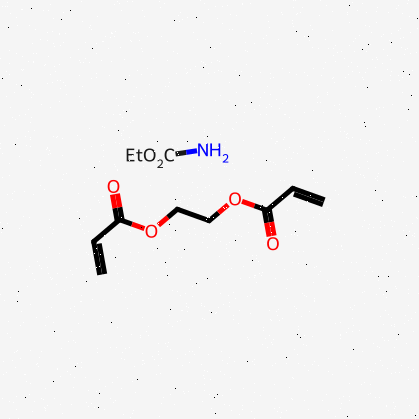 C=CC(=O)OCCOC(=O)C=C.CCOC(N)=O